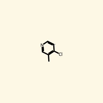 Cc1cnc[c]c1Cl